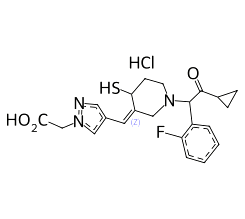 Cl.O=C(O)Cn1cc(/C=C2/CN(C(C(=O)C3CC3)c3ccccc3F)CCC2S)cn1